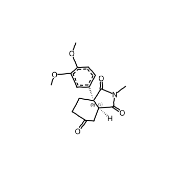 COc1ccc([C@@]23CCC(=O)C[C@@H]2C(=O)N(C)C3=O)cc1OC